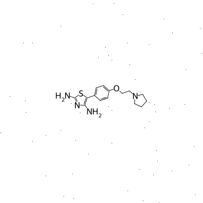 Nc1nc(N)c(-c2ccc(OCCN3CCCC3)cc2)s1